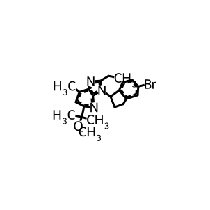 CCc1nc2c(C)cc(C(C)(C)OC)nc2n1C1CCc2cc(Br)ccc21